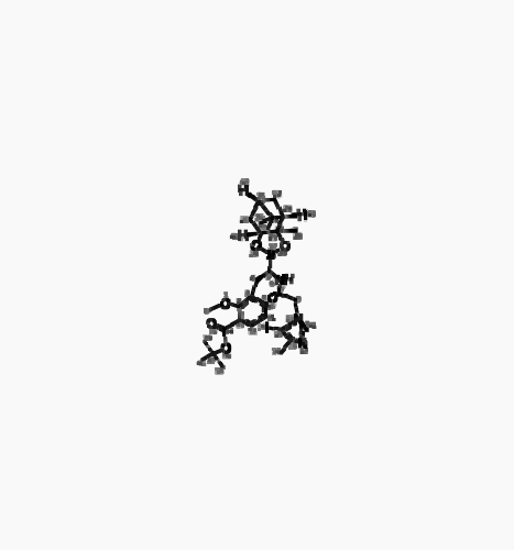 COc1c(C[C@H](NC(=O)Cn2nnc(C)c2I)B2O[C@@H]3C[C@@H]4C[C@@H](C4(C)C)[C@]3(C)O2)cccc1C(=O)OC(C)(C)C